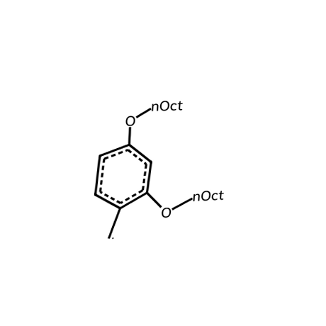 [CH2]c1ccc(OCCCCCCCC)cc1OCCCCCCCC